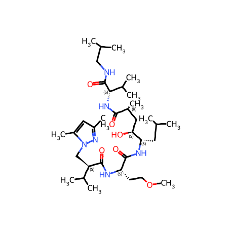 COCC[C@H](NC(=O)[C@H](Cn1nc(C)cc1C)C(C)C)C(=O)N[C@@H](CC(C)C)[C@@H](O)C[C@@H](C)C(=O)N[C@H](C(=O)NCC(C)C)C(C)C